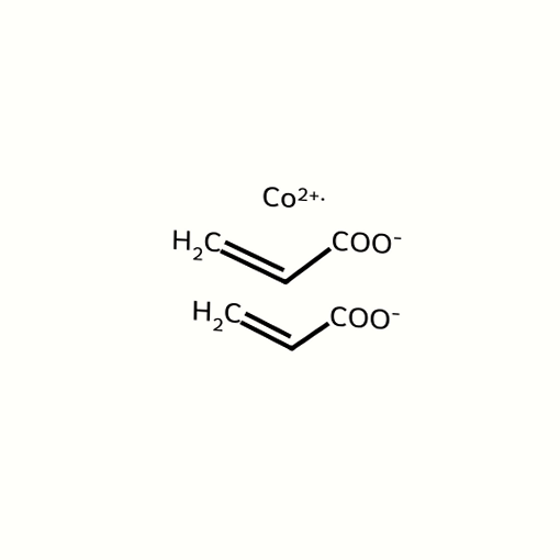 C=CC(=O)[O-].C=CC(=O)[O-].[Co+2]